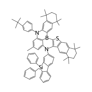 Cc1cc2c3c(c1)N(c1ccc4c(c1)[Si](c1ccccc1)(c1ccccc1)c1ccccc1-4)c1c(sc4cc5c(cc14)C(C)(C)CCC5(C)C)B3c1cc3c(cc1N2c1ccc(C(C)(C)C)cc1)C(C)(C)CCC3(C)C